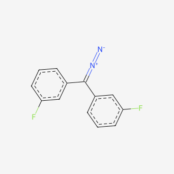 [N-]=[N+]=C(c1cccc(F)c1)c1cccc(F)c1